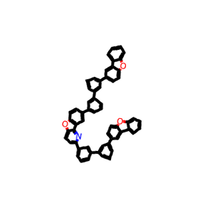 c1cc(-c2cccc(-c3ccc4oc5ccc(-c6cccc(-c7cccc(-c8ccc9oc%10ccccc%10c9c8)c7)c6)nc5c4c3)c2)cc(-c2ccc3oc4ccccc4c3c2)c1